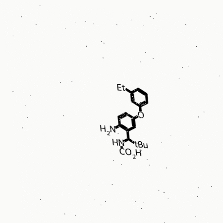 CCc1cccc(Oc2ccc(N)c(C(NC(=O)O)C(C)(C)C)c2)c1